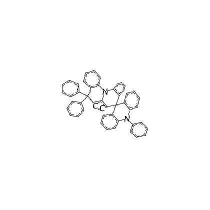 c1ccc(N2c3ccccc3C3(c4ccccc42)c2ccccc2N2c4ccccc4C(c4ccccc4)(c4ccccc4)c4cccc3c42)cc1